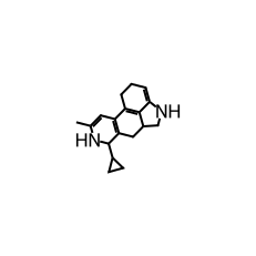 CC1=CC2=C(CC3CNC4=CCCC2=C43)C(C2CC2)N1